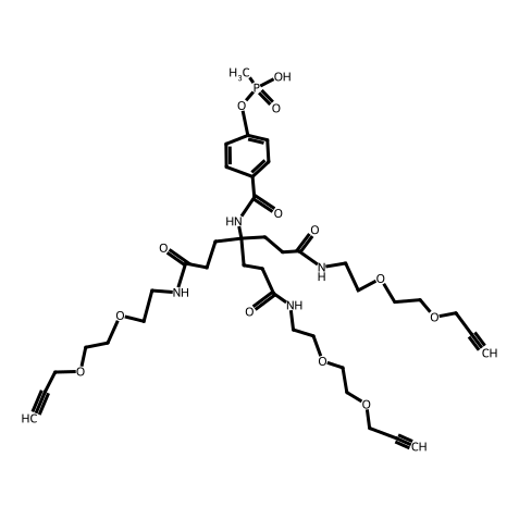 C#CCOCCOCCNC(=O)CCC(CCC(=O)NCCOCCOCC#C)(CCC(=O)NCCOCCOCC#C)NC(=O)c1ccc(OP(C)(=O)O)cc1